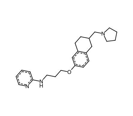 c1ccc(NCCCOc2ccc3c(c2)CCC(CN2CCCC2)C3)nc1